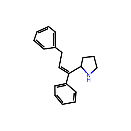 C(Cc1ccccc1)=C(c1ccccc1)C1CCCN1